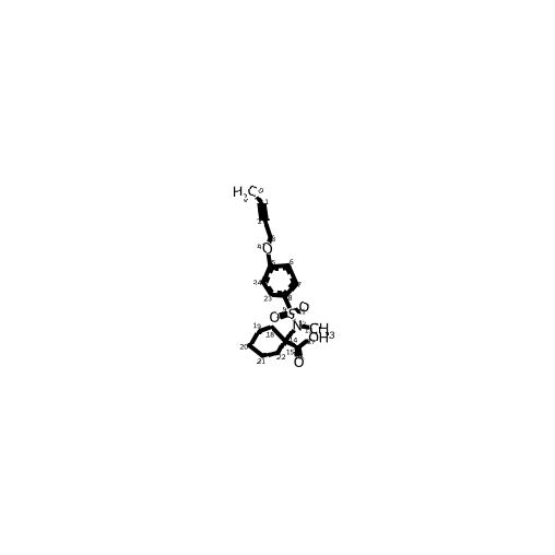 CC#CCOc1ccc(S(=O)(=O)N(C)C2(C(=O)O)CCCCC2)cc1